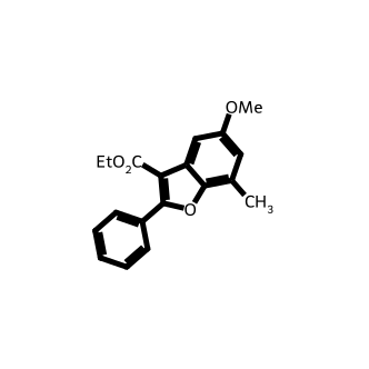 CCOC(=O)c1c(-c2ccccc2)oc2c(C)cc(OC)cc12